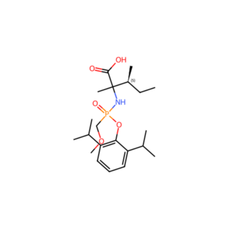 CC[C@H](C)C(C)(NP(=O)(COC)Oc1c(C(C)C)cccc1C(C)C)C(=O)O